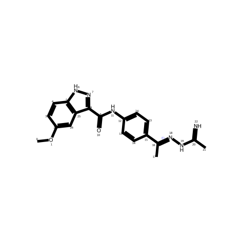 COc1ccc2[nH]nc(C(=O)Nc3ccc(/C(C)=N/NC(C)=N)cc3)c2c1